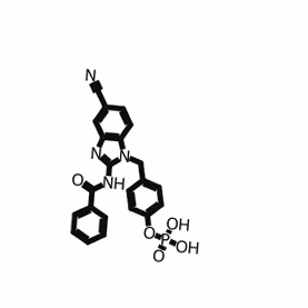 N#Cc1ccc2c(c1)nc(NC(=O)c1ccccc1)n2Cc1ccc(OP(=O)(O)O)cc1